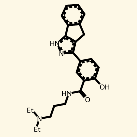 CCN(CC)CCCNC(=O)c1cc(-c2n[nH]c3c2Cc2ccccc2-3)ccc1O